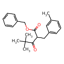 Cc1cccc(CC(C(=O)OCc2ccccc2)C(=O)C(C)(C)C)c1